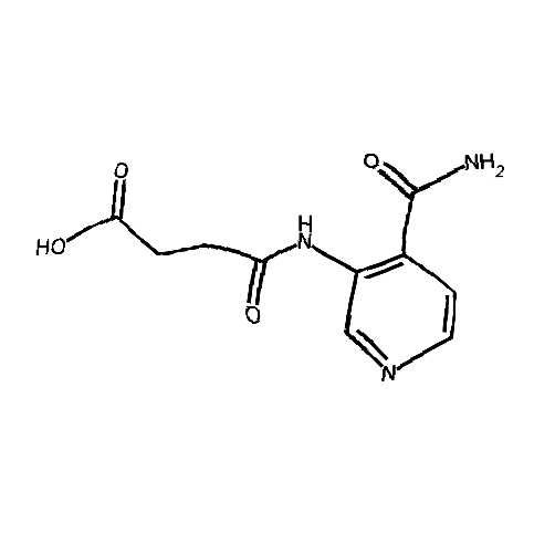 NC(=O)c1ccncc1NC(=O)CCC(=O)O